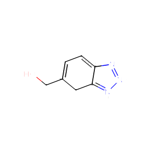 OCC1=CC=C2N=NN=C2C1